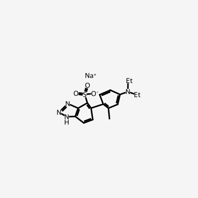 CCN(CC)c1ccc(-c2ccc3[nH]nnc3c2S(=O)(=O)[O-])c(C)c1.[Na+]